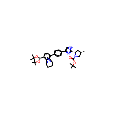 C[C@@H]1C[C@@H](c2nc(-c3ccc(-c4ccc(B5OC(C)(C)C(C)(C)O5)c5c4C4CCC5N4C)cc3)c[nH]2)N(C(=O)OC(C)(C)C)C1